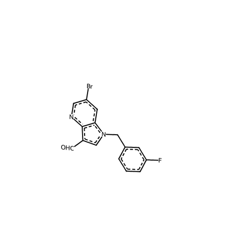 O=Cc1cn(Cc2cccc(F)c2)c2cc(Br)cnc12